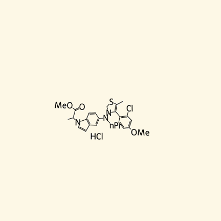 CCCN(c1ccc2c(ccn2C(C)C(=O)OC)c1)N1CSC(C)=C1c1ccc(OC)cc1Cl.Cl